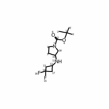 CC(C)(C)OC(=O)N1CCC(NC2CC(F)(F)C2)C1